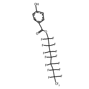 O=C(OC(F)(F)C(F)(F)C(F)(F)C(F)(F)C(F)(F)C(F)(F)C(F)(F)C(F)(F)F)c1ccc(O)cc1